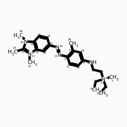 CC[N+](C)(CC)CCNc1ccc(N=Nc2ccc3c(c2)[n+](C)c(C)n3C)c(C)c1